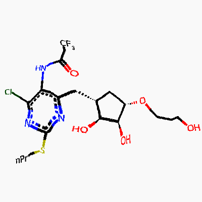 CCCSc1nc(Cl)c(NC(=O)C(F)(F)F)c(C[C@@H]2C[C@H](OCCO)[C@@H](O)[C@H]2O)n1